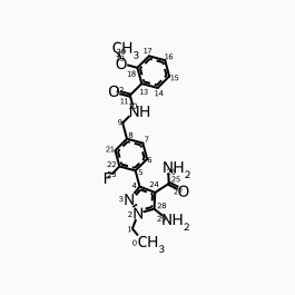 CCn1nc(-c2ccc(CNC(=O)c3ccccc3OC)cc2F)c(C(N)=O)c1N